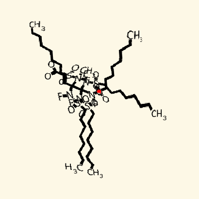 CCCCCCCCS(=O)(=O)N(F)C(N(F)S(=O)(=O)CCCCCCCC)(N(F)S(=O)(=O)CCCCCCCC)C(C=CC(=O)[O-])(N(F)S(=O)(=O)CCCCCCCC)[N+](C)(F)S(=O)(=O)CCCCCCCC